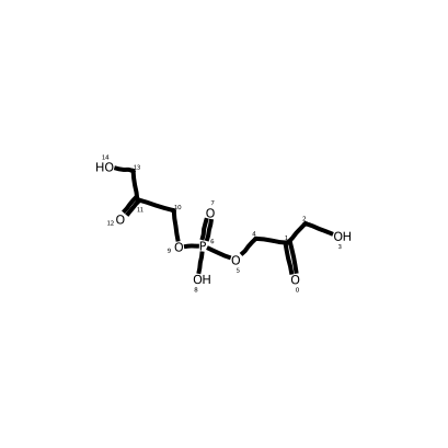 O=C(CO)COP(=O)(O)OCC(=O)CO